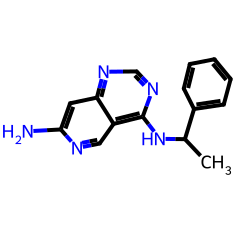 CC(Nc1ncnc2cc(N)ncc12)c1ccccc1